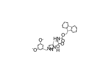 COc1cc(Cn2cc(C[C@H](NC(=O)OCC3c4ccccc4-c4ccccc43)C(=O)O)nn2)cc(OC)c1